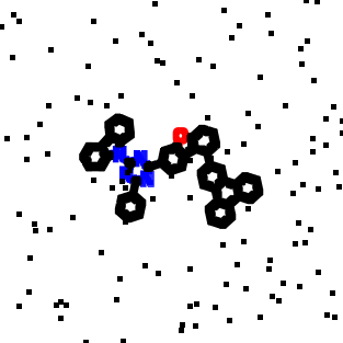 c1ccc(-c2nc(-c3ccc4c(c3)oc3cccc(-c5ccc6c7ccccc7c7ccccc7c6c5)c34)nc(-n3c4ccccc4c4ccccc43)n2)cc1